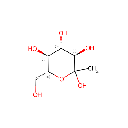 [CH2]C1(O)O[C@H](CO)[C@@H](O)[C@H](O)[C@H]1O